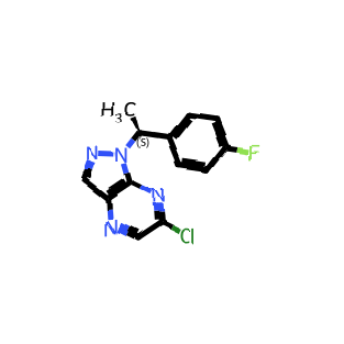 C[C@@H](c1ccc(F)cc1)n1ncc2ncc(Cl)nc21